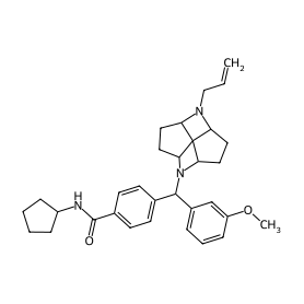 C=CCN1C2CCC3N(C(c4ccc(C(=O)NC5CCCC5)cc4)c4cccc(OC)c4)C4CCC1C234